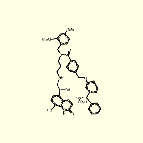 COc1ccc(CN(CCCNCC(O)c2ccc(O)c3[nH]c(=O)ccc23)C(=O)c2ccc(COc3cccc([C@@H](NC(=O)O)c4ccccc4)c3)cc2)c(OC)c1